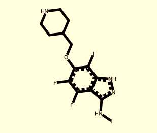 Fc1c(OCC2CCNCC2)c(I)c2[nH]nc(NI)c2c1F